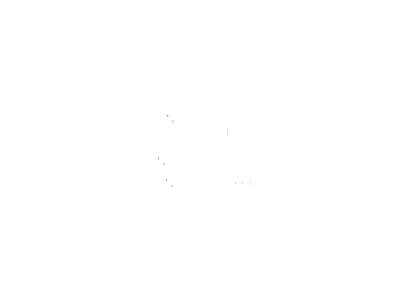 CCOC(=O)c1cnn2ccnc2c1O